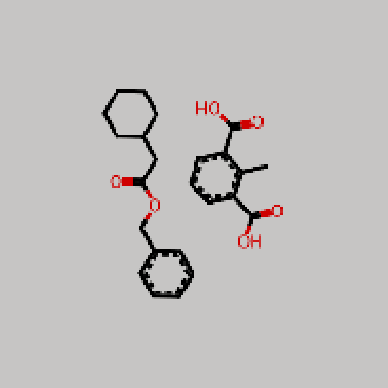 Cc1c(C(=O)O)cccc1C(=O)O.O=C(CC1CCCCC1)OCc1ccccc1